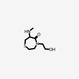 CNC1CSCCN(CCO)C1=O